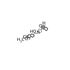 CC(C)Oc1ccc2cc(C(O)CN3CCC(n4c(=O)[nH]c5ccccc54)CC3)ccc2c1